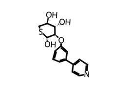 O[C@@H]1[C@@H](Oc2cccc(-c3ccncc3)c2)[C@H](O)SC[C@H]1O